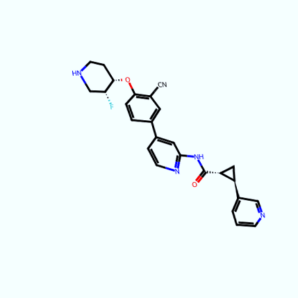 N#Cc1cc(-c2ccnc(NC(=O)[C@@H]3C[C@H]3c3cccnc3)c2)ccc1O[C@H]1CCNC[C@H]1F